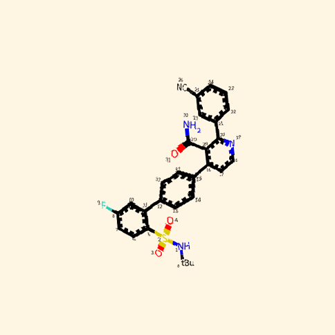 CC(C)(C)NS(=O)(=O)c1ccc(F)cc1-c1ccc(-c2ccnc(-c3cccc(C#N)c3)c2C(N)=O)cc1